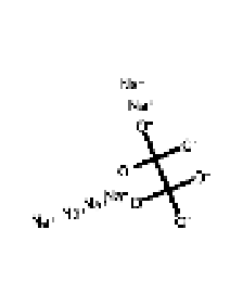 [Na+].[Na+].[Na+].[Na+].[Na+].[Na+].[O-]C([O-])([O-])C([O-])([O-])[O-]